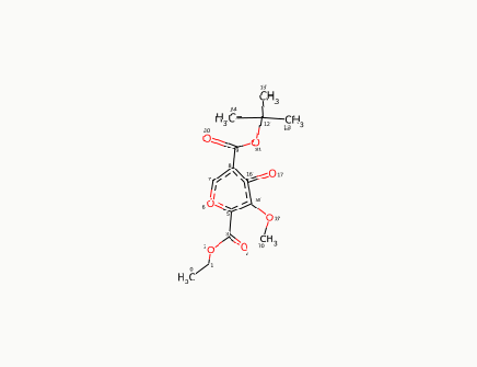 CCOC(=O)c1occ(C(=O)OC(C)(C)C)c(=O)c1OC